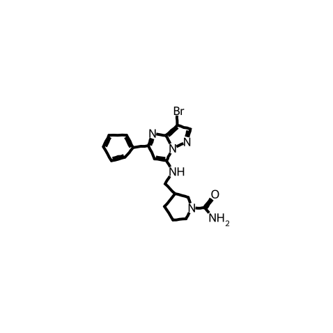 NC(=O)N1CCCC(CNc2cc(-c3ccccc3)nc3c(Br)cnn23)C1